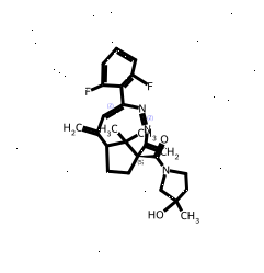 C=C1/C=C(c2c(F)cccc2F)\N=N/C(=C)[C@]2(C(=O)N3CCC(C)(O)C3)CCC1C2(C)C